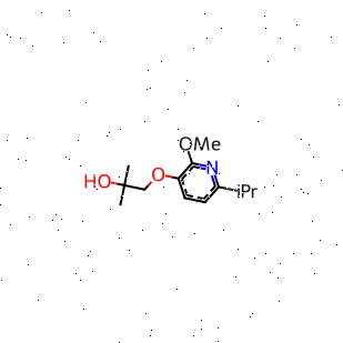 COc1nc(C(C)C)ccc1OCC(C)(C)O